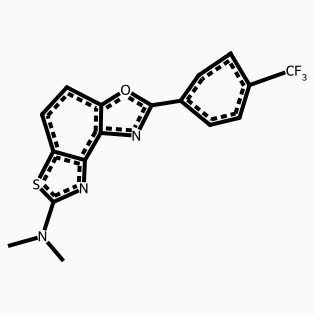 CN(C)c1nc2c(ccc3oc(-c4ccc(C(F)(F)F)cc4)nc32)s1